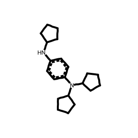 c1cc(N(C2CCCC2)C2CCCC2)ccc1NC1CCCC1